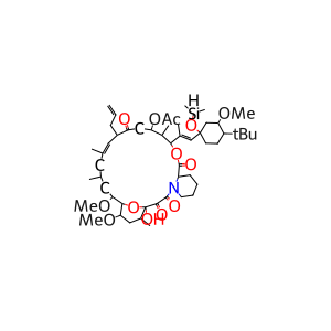 C=CCC1C=C(C)CC(C)CC(OC)C2OC(O)(C(=O)C(=O)N3CCCCC3C(=O)OC(C(C)=CC3(O[SiH](C)C)CCC(C(C)(C)C)C(OC)C3)C(C)C(OC(C)=O)CC1=O)C(C)CC2OC